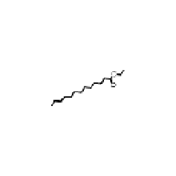 CCCCCCCCCCCCC(=O)OCC